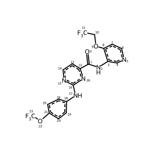 O=C(Nc1cnccc1OCC(F)(F)F)c1ccnc(Nc2ccc(OC(F)(F)F)cc2)n1